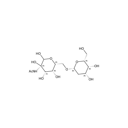 CC(=O)N[C@]1(O)C(O)O[C@H](CO[C@H]2C[C@@H](O)[C@@H](O)[C@@H](CO)O2)[C@H](O)[C@@H]1O